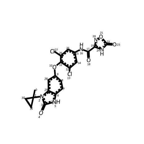 CC1(n2c(=O)[nH]c3ccc(Oc4c(Cl)cc(NC(=O)c5noc(=O)[nH]5)cc4Cl)cc32)CC1